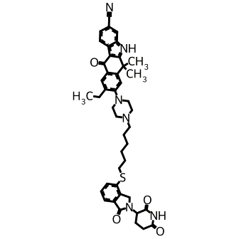 CCc1cc2c(cc1N1CCN(CCCCCCSc3cccc4c3CN(C3CCC(=O)NC3=O)C4=O)CC1)C(C)(C)c1[nH]c3cc(C#N)ccc3c1C2=O